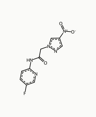 O=C(Cn1cc([N+](=O)[O-])cn1)Nc1ccc(F)cn1